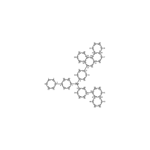 c1ccc(-c2ccc(N(c3ccc(-c4cc5ccc6ccccc6c5c5ccccc45)cc3)c3cccc(-c4cccc5ccccc45)c3)cc2)cc1